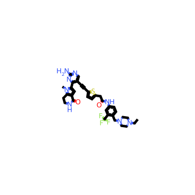 CCN1CCN(Cc2ccc(NC(=O)Cc3ccc(C#Cc4cnc(N)nc4-c4cc5c(n4C)CCNC5=O)s3)cc2C(F)(F)F)CC1